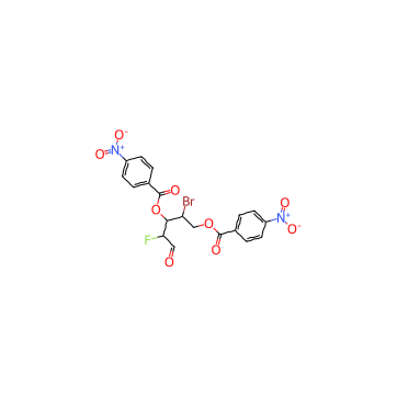 O=CC(F)C(OC(=O)c1ccc([N+](=O)[O-])cc1)C(Br)COC(=O)c1ccc([N+](=O)[O-])cc1